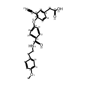 COc1ccc(CCNC(=O)c2ccc(Oc3ccc(CC(=O)O)cc3C#N)cc2)cc1